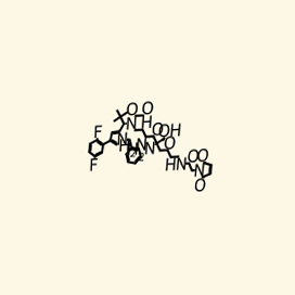 CC(C)(C)[C@H](c1cc(-c2cc(F)ccc2F)cn1Cc1ccccc1)N(CC[C@H](N)C(=O)[C@@](N)(CCCCNC(=O)CN1C(=O)C=CC1=O)C(=O)O)C(=O)CO